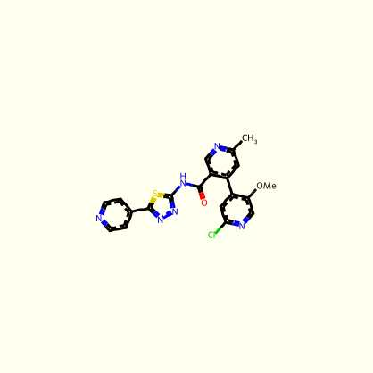 COc1cnc(Cl)cc1-c1cc(C)ncc1C(=O)Nc1nnc(-c2ccncc2)s1